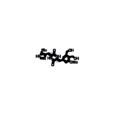 COc1cc(/C=c2\[nH]c(=O)/c(=C/c3nc[nH]c3C(C)(C)C)[nH]c2=O)cc(CO)c1CO